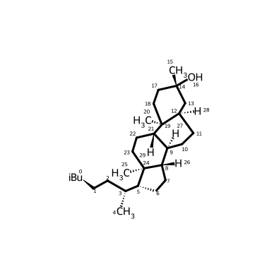 CC[C@H](C)CC[C@@H](C)[C@H]1CC[C@H]2[C@@H]3CC[C@@H]4C[C@@](C)(O)CC[C@]4(C)[C@H]3CC[C@]12C